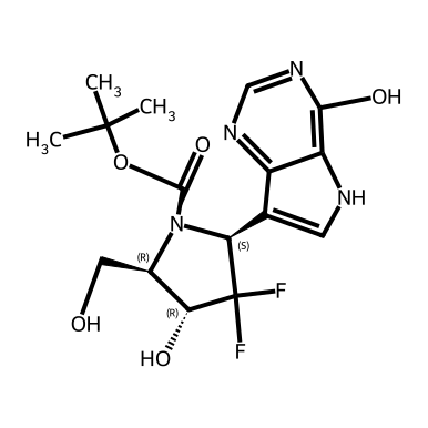 CC(C)(C)OC(=O)N1[C@H](CO)[C@@H](O)C(F)(F)[C@@H]1c1c[nH]c2c(O)ncnc12